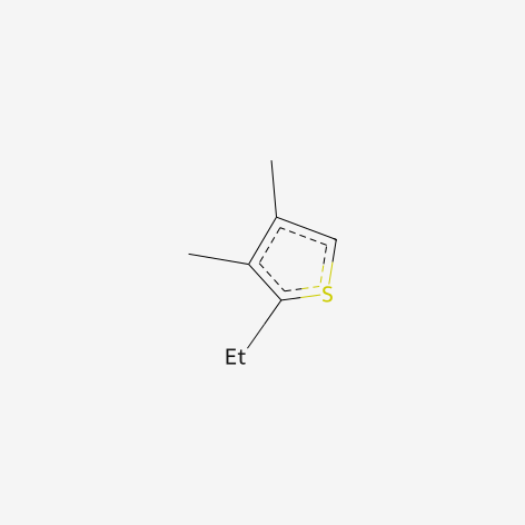 CCc1scc(C)c1C